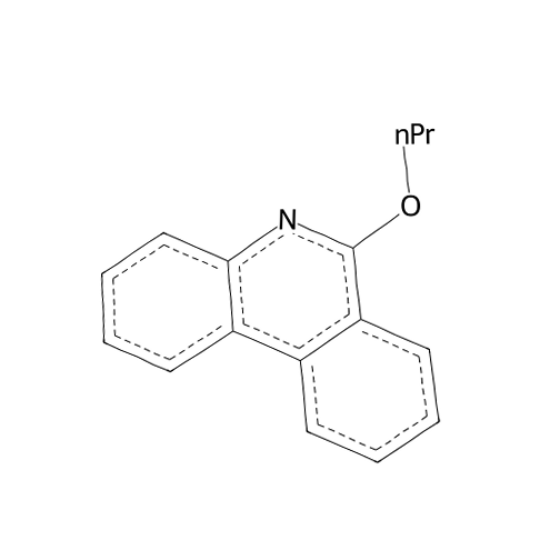 CCCOc1nc2ccccc2c2ccccc12